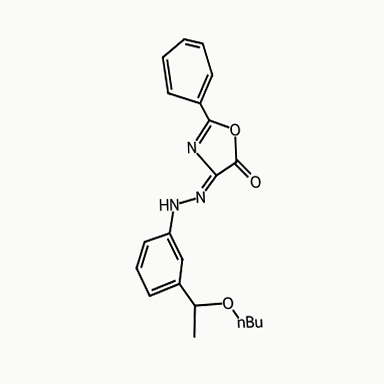 CCCCOC(C)c1cccc(NN=C2N=C(c3ccccc3)OC2=O)c1